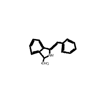 O=CC1NC(=Cc2ccccc2)c2ccccc21